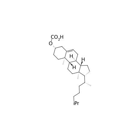 CC(C)CCC[C@@H](C)[C@H]1CC[C@H]2[C@@H]3CC=C4C[C@@H](OC(=O)O)CC[C@]4(C)[C@H]3CC[C@]12C